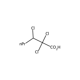 CCCC(Cl)C(Cl)(Cl)C(=O)O